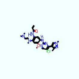 C=CC(=O)Nc1cc(Nc2ncc(Cl)c(-c3cn(C)nc3C)n2)c(OC)cc1N(C)CCN(C)C